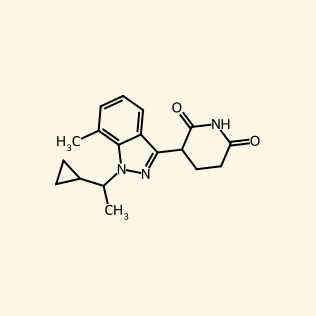 Cc1cccc2c(C3CCC(=O)NC3=O)nn(C(C)C3CC3)c12